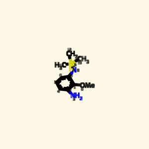 COc1c(N)cccc1N=[SH](C)(C)C